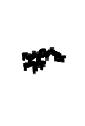 Fc1cc(OCCBr)c(F)c(F)c1F